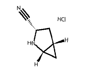 Cl.N#C[C@@H]1C[C@@H]2C[C@@H]2N1